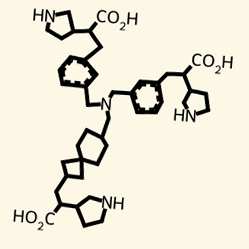 O=C(O)C(Cc1cccc(CN(Cc2cccc(CC(C(=O)O)C3CCNC3)c2)CC2CCC3(CC2)CC(CC(C(=O)O)C2CCNC2)C3)c1)C1CCNC1